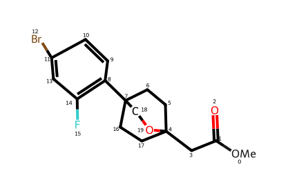 COC(=O)CC12CCC(c3ccc(Br)cc3F)(CC1)CO2